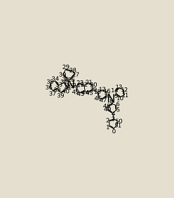 c1ccc(-c2ccc(N(c3ccccc3)c3ccc(-c4ccc5cc(-n6c7ccccc7c7c8ccccc8ccc76)ccc5c4)cc3)cc2)cc1